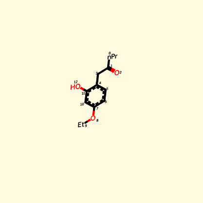 CCCC(=O)Cc1ccc(OCC)cc1O